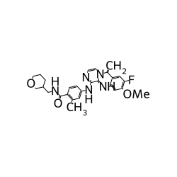 C=C(c1ccc(OC)c(F)c1)n1ccnc(Nc2ccc(C(=O)NCC3CCCOC3)c(C)c2)c1=N